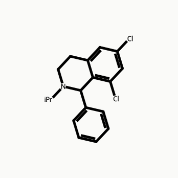 CC(C)N1CCc2cc(Cl)cc(Cl)c2C1c1ccccc1